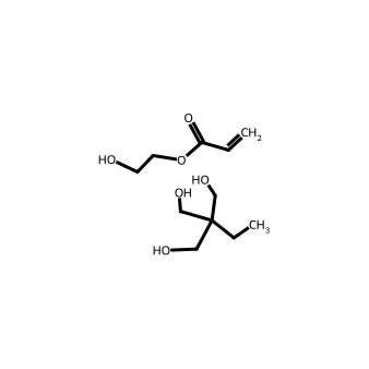 C=CC(=O)OCCO.CCC(CO)(CO)CO